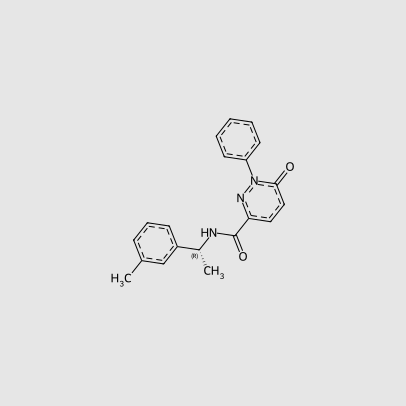 Cc1cccc([C@@H](C)NC(=O)c2ccc(=O)n(-c3ccccc3)n2)c1